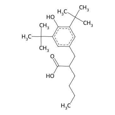 CCCCC(Cc1cc(C(C)(C)C)c(O)c(C(C)(C)C)c1)C(=O)O